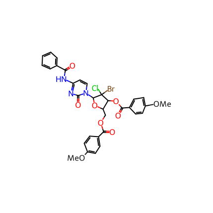 COc1ccc(C(=O)OCC2OC(n3ccc(NC(=O)c4ccccc4)nc3=O)C(Cl)(Br)C2OC(=O)c2ccc(OC)cc2)cc1